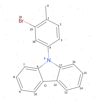 Cc1ccc(-n2c3ccccc3c3ccccc32)cc1Br